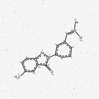 Cc1ccc2[se]n(-c3cccc(C=[N+]([O-])C(C)C)c3)c(=O)c2c1